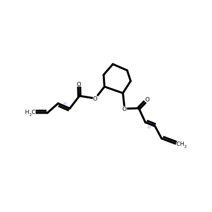 C=C/C=C/C(=O)OC1CCCCC1OC(=O)/C=C/C=C